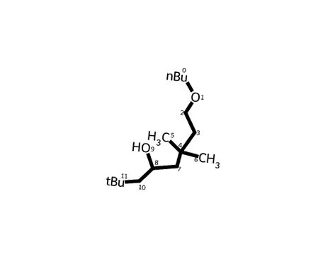 CCCCOCCC(C)(C)CC(O)CC(C)(C)C